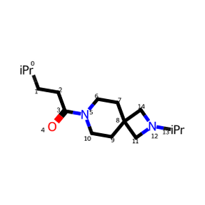 CC(C)CCC(=O)N1CCC2(CC1)CN(C(C)C)C2